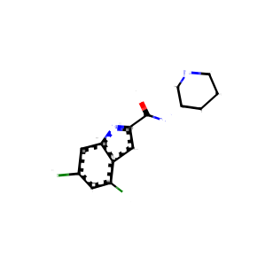 O=C(N[C@H]1CCCNC1)c1cc2c(Cl)cc(Cl)cc2[nH]1